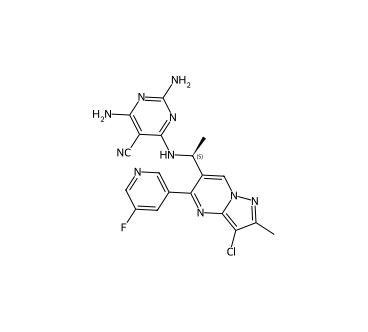 Cc1nn2cc([C@H](C)Nc3nc(N)nc(N)c3C#N)c(-c3cncc(F)c3)nc2c1Cl